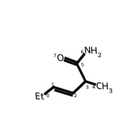 CC/C=C/C(C)C(N)=O